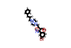 C/C(=C\c1ccccc1)CN1CCN(CC2ON=C3c4cc(Br)ccc4OCC32)CC1